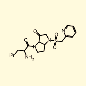 CC(C)CC(N)C(=O)N1CCC2C1C(=O)CN2S(=O)(=O)Cc1ccccn1